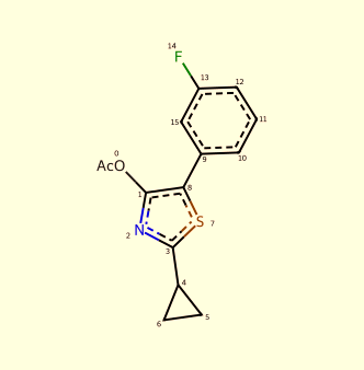 CC(=O)Oc1nc(C2CC2)sc1-c1cccc(F)c1